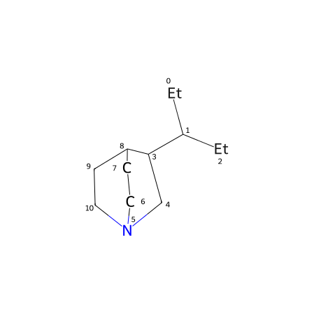 CCC(CC)C1CN2CCC1CC2